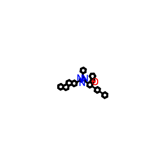 c1ccc(-c2ccc(-c3ccc(-c4nc(-c5ccccc5)nc(-c5ccc6c(ccc7c8ccccc8ccc67)c5)n4)c4c3oc3ccccc34)cc2)cc1